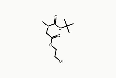 CN(CC(=O)OCCO)C(=O)OC(C)(C)C